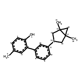 Cc1ccc(O)c(-c2cccc(N3CC4(C)CC4(C)C3)c2)c1